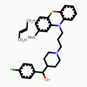 CSc1ccc2c(c1)N(CCCN1CCC(C(O)c3ccc(F)cc3)CC1)c1ccccc1S2.O=C(O)/C=C/C(=O)O